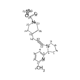 Cc1cccc(C2CCCCN2C#CCC2CCN(C(=O)OC(C)(C)C)CC2)n1